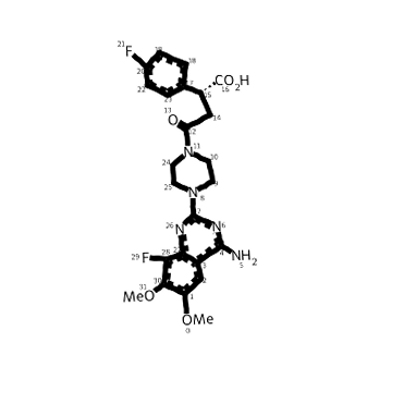 COc1cc2c(N)nc(N3CCN(C(=O)C[C@@H](C(=O)O)c4ccc(F)cc4)CC3)nc2c(F)c1OC